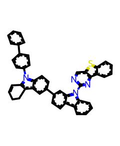 C1=Cc2c(c3cc(-c4ccc5c6ccccc6n(-c6ncc7sc8ccccc8c7n6)c5c4)ccc3n2-c2ccc(-c3ccccc3)cc2)CC1